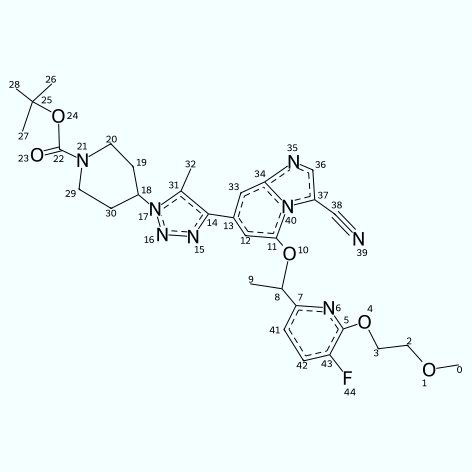 COCCOc1nc(C(C)Oc2cc(-c3nnn(C4CCN(C(=O)OC(C)(C)C)CC4)c3C)cc3ncc(C#N)n23)ccc1F